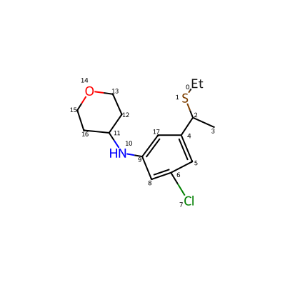 CCSC(C)c1cc(Cl)cc(NC2CCOCC2)c1